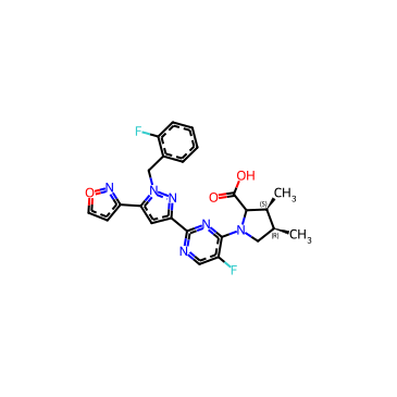 C[C@@H]1C(C(=O)O)N(c2nc(-c3cc(-c4ccon4)n(Cc4ccccc4F)n3)ncc2F)C[C@@H]1C